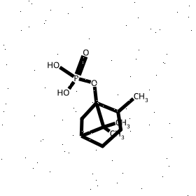 CC1CCC2CC1(OP(=O)(O)O)C2(C)C